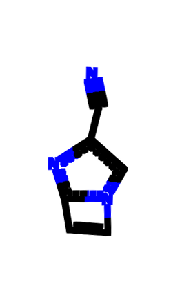 N#Cc1cn2c(n1)C=C2